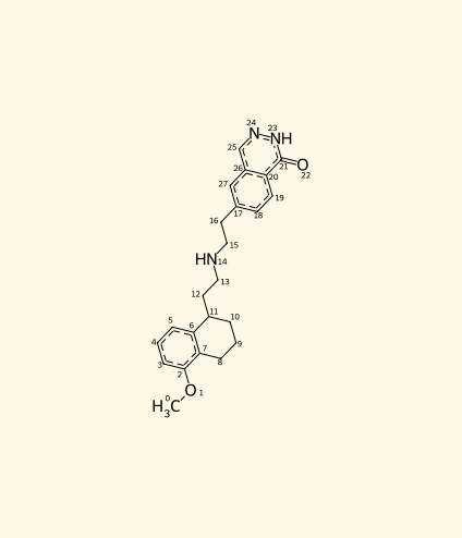 COc1cccc2c1CCCC2CCNCCc1ccc2c(=O)[nH]ncc2c1